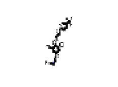 F/C(Br)=C/COc1cc(Cl)c(OCCCOc2ccc(C(F)(F)F)cn2)c(Cl)c1